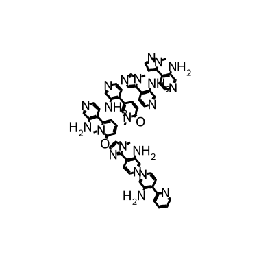 Cn1c(-c2ccncc2N)cccc1=O.Cn1cc(-c2ccncc2N)ccc1=O.Cn1ccnc1-c1ccncc1N.Cn1cncc1-c1ccncc1N.Cn1nccc1-c1ccncc1N.Nc1cnccc1-c1ccccn1